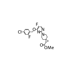 COC(=O)C1CC12CCN(c1ncc(F)c(OCc3ccc(Cl)cc3F)n1)CC2